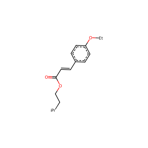 CCOc1ccc(C=CC(=O)OCCC(C)C)cc1